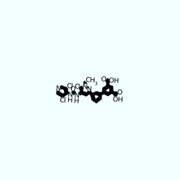 CCn1nc(-c2cccc(-c3cc(C(=O)O)cc(C(=O)O)c3)c2)cc(NC(=O)Nc2c(Cl)cncc2Cl)c1=O